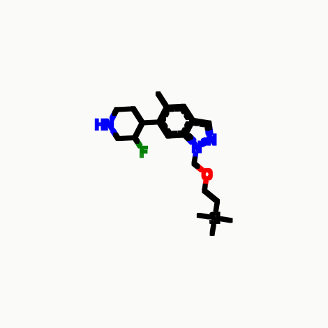 Cc1cc2cnn(COCC[Si](C)(C)C)c2cc1C1CCNCC1F